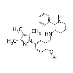 Cc1nn(-c2ccc(OC(C)C)c(CNC3CCCNC3c3ccccc3)c2)c(C)c1C